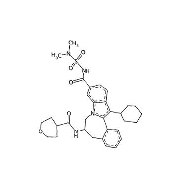 CN(C)S(=O)(=O)NC(=O)c1ccc2c(C3CCCCC3)c3n(c2c1)CC(NC(=O)C1CCOCC1)Cc1ccccc1-3